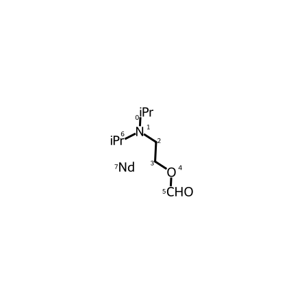 CC(C)N(CCOC=O)C(C)C.[Nd]